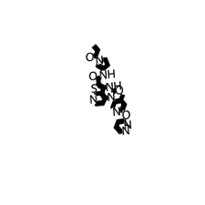 C=CC(=O)N1C=C(NC(=O)c2sc3nccc4c3c2NC(=O)N4c2cnc(Oc3cccnn3)cc2C)CC1